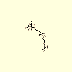 O=S(=O)(CCCC(F)(C(F)(F)F)C(F)(F)F)NCCCNO